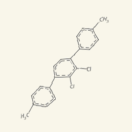 Cc1ccc(-c2ccc(-c3ccc(C)cc3)c(Cl)c2Cl)cc1